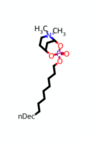 CCCCCCCCCCCCCCCCCCOP1(=O)OC2CC[N+](C)(C)C(C2)O1